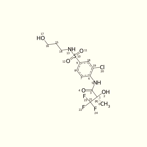 C[C@@](O)(C(=O)Nc1ccc(S(=O)(=O)NCCCO)cc1Cl)C(F)(F)F